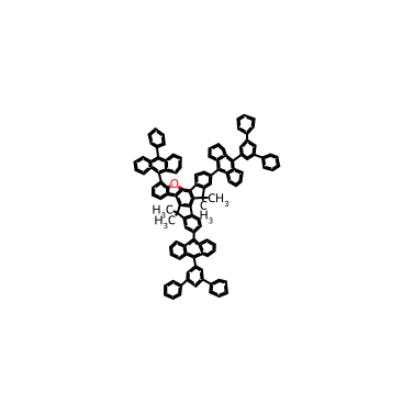 CC1(C)c2cc(-c3c4ccccc4c(-c4cc(-c5ccccc5)cc(-c5ccccc5)c4)c4ccccc34)ccc2-c2c1c1c(c3c2oc2c(-c4c5ccccc5c(-c5ccccc5)c5ccccc45)cccc23)C(C)(C)c2cc(-c3c4ccccc4c(-c4cc(-c5ccccc5)cc(-c5ccccc5)c4)c4ccccc34)ccc2-1